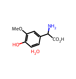 COc1cc(C(N)C(=O)O)ccc1O.O